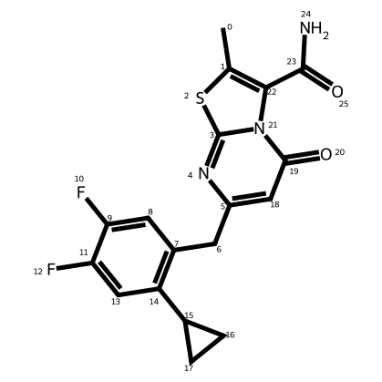 Cc1sc2nc(Cc3cc(F)c(F)cc3C3CC3)cc(=O)n2c1C(N)=O